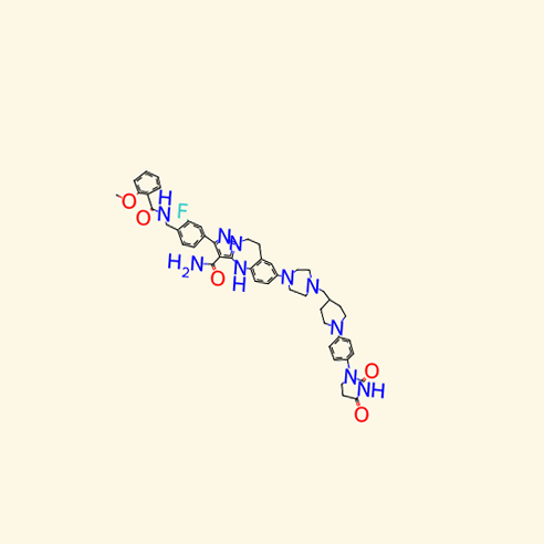 COc1ccccc1C(=O)NCc1ccc(-c2nn3c(c2C(N)=O)Nc2ccc(N4CCN(CC5CCN(c6ccc(N7CCC(=O)NC7=O)cc6)CC5)CC4)cc2CC3)cc1F